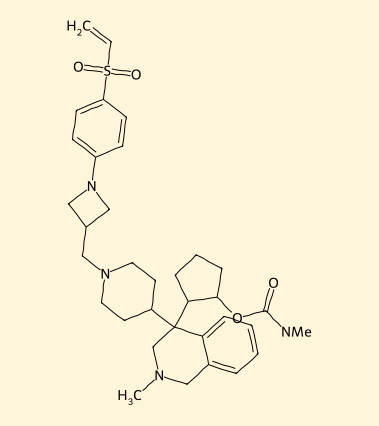 C=CS(=O)(=O)c1ccc(N2CC(CN3CCC(C4(C5CCCC5OC(=O)NC)CN(C)Cc5ccccc54)CC3)C2)cc1